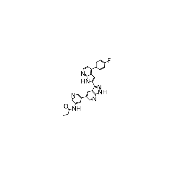 CCC(=O)Nc1cncc(-c2cnc3[nH]nc(-c4cc5c(-c6ccc(F)cc6)ccnc5[nH]4)c3c2)c1